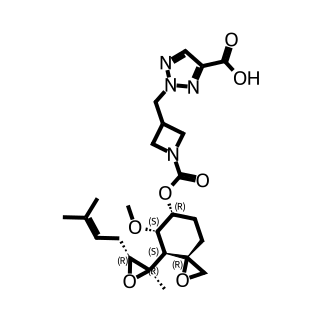 CO[C@@H]1[C@H](OC(=O)N2CC(Cn3ncc(C(=O)O)n3)C2)CC[C@]2(CO2)[C@H]1[C@@]1(C)O[C@@H]1CC=C(C)C